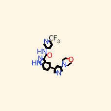 O=C(Nc1ccc(C(F)(F)F)nc1)c1n[nH]c2ccc(-c3cncc(N4CCOCC4)c3)cc12